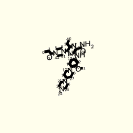 C=CC(=O)N1CCN(c2nc(Nc3ccc(N4CCC(N5CCN(C)CC5)CC4)c(OC)c3)c(C(N)=O)nc2CC)CC1